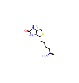 C=C(N)CCCC[C@H]1SC[C@@H]2NC(=O)N[C@@]21C